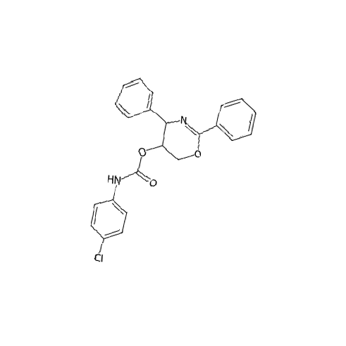 O=C(Nc1ccc(Cl)cc1)OC1COC(c2ccccc2)=NC1c1ccccc1